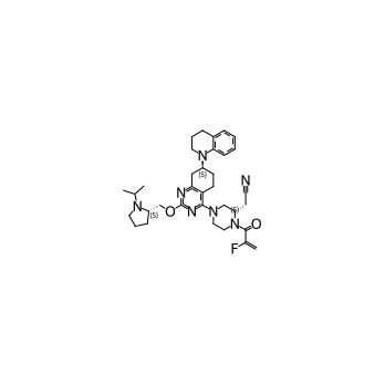 C=C(F)C(=O)N1CCN(c2nc(OC[C@@H]3CCCN3C(C)C)nc3c2CC[C@H](N2CCCc4ccccc42)C3)C[C@@H]1CC#N